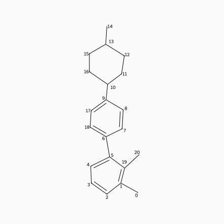 Cc1cccc(-c2ccc(C3CCC(C)CC3)cc2)c1C